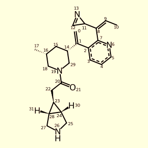 C=C(c1cccnc1/C(=C\C)C1C=N1)[C@H]1C[C@@H](C)CN(C(=O)C[C@H]2[C@@H]3CNC[C@@H]32)C1